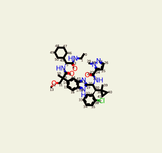 CCNC(=O)[C@H](NC(=O)C(C)(COC)c1ccc2[nH]c([C@@H](NC(=O)c3ccnn3C)[C@H](c3ccccc3Cl)C3(C)CC3)nc2c1)C1CCCCC1